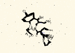 CCOc1ccc(Cl)cc1C(=N)/C(=C\N)NC(=O)/C(C=N)=C1\N=CC=CN1